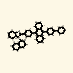 c1ccc(-c2ccc(-c3c4ccccc4c(-c4ccc(-c5nc6ccccc6n5-c5cccc6ccccc56)cc4)c4ccccc34)cc2)cc1